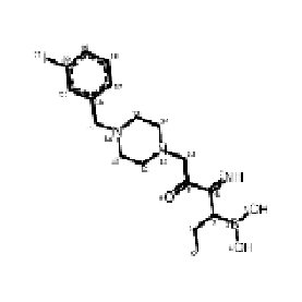 CCC(B(O)O)C(=N)C(=O)CN1CCN(Cc2cccc(I)c2)CC1